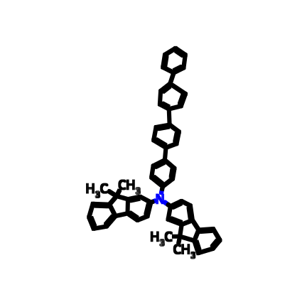 CC1(C)c2ccccc2-c2ccc(N(c3ccc(-c4ccc(-c5ccc(-c6ccccc6)cc5)cc4)cc3)c3ccc4c(c3)C(C)(C)c3ccccc3-4)cc21